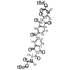 C[C@@H](C(=O)C1C(=O)c2ccc(C(=O)c3ccc4c(c3)C(=O)C(C(=O)[C@H](C)N(C)C(=O)OC(C)(C)C)C4=O)cc2C1=O)N(C)C(=O)OC(C)(C)C